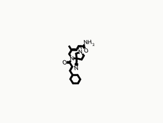 CC(=CCC(N)=O)CN(C(=O)[CH]CC1CCCCC1)C1(C#N)CCNC1